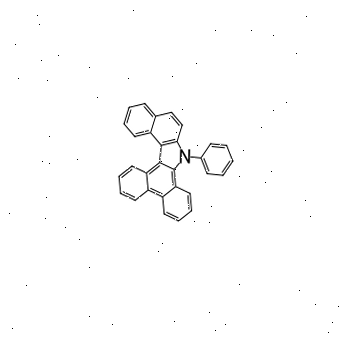 c1ccc(-n2c3ccc4ccccc4c3c3c4ccccc4c4ccccc4c32)cc1